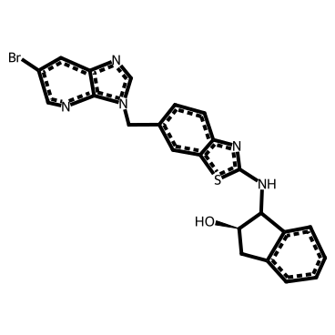 O[C@@H]1Cc2ccccc2C1Nc1nc2ccc(Cn3cnc4cc(Br)cnc43)cc2s1